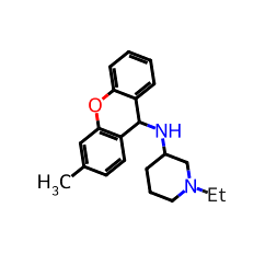 CCN1CCCC(NC2c3ccccc3Oc3cc(C)ccc32)C1